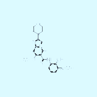 COc1cc2nc(C3CCOCC3)cn2cc1C(=O)Nc1cccc(OC)c1C